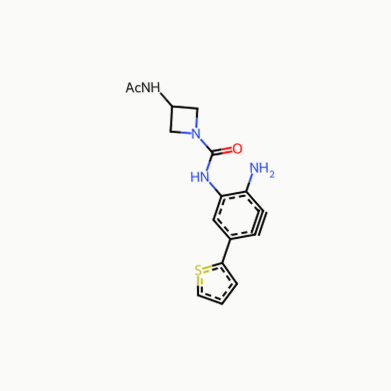 CC(=O)NC1CN(C(=O)Nc2cc(-c3cccs3)c#cc2N)C1